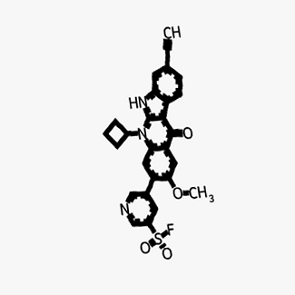 C#Cc1ccc2c(c1)[nH]c1c2c(=O)c2cc(OC)c(-c3cncc(S(=O)(=O)F)c3)cc2n1C1CCC1